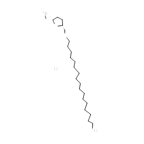 CCCCCCCCCCCCCCCCCCOC[C@@H]1CC[C@@H](CN)O1.I